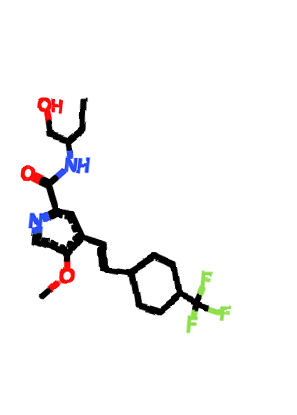 CCC(CO)NC(=O)c1cc(/C=C/C2CCC(C(F)(F)F)CC2)c(OC)cn1